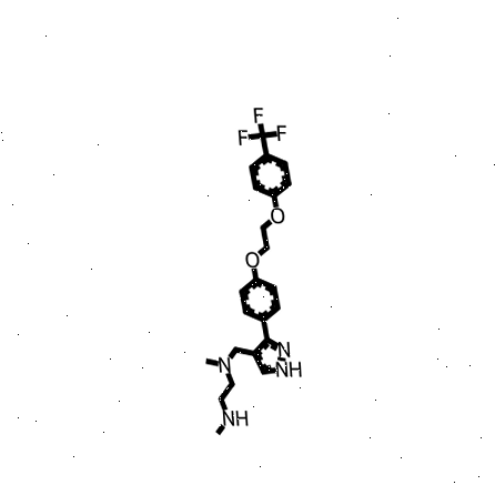 CNCCN(C)Cc1c[nH]nc1-c1ccc(OCCOc2ccc(C(F)(F)F)cc2)cc1